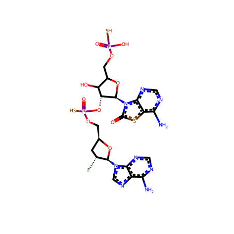 Nc1ncnc2c1ncn2[C@@H]1O[C@H](COP(=O)(S)O[C@@H]2C(O)C(COP(=O)(O)S)O[C@H]2n2c(=O)sc3c(N)ncnc32)C[C@H]1F